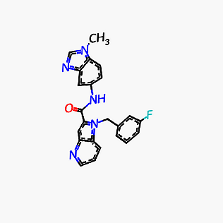 Cn1cnc2cc(NC(=O)c3cc4ncccc4n3Cc3cccc(F)c3)ccc21